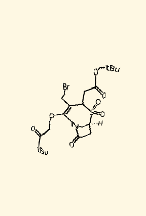 CC(C)(C)OC(=O)CC1C(CBr)=C(OCC(=O)C(C)(C)C)N2C(=O)C[C@@H]2S1(=O)=O